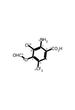 Nc1c(C(=O)O)cc(C(F)(F)F)c(OC=O)c1Cl